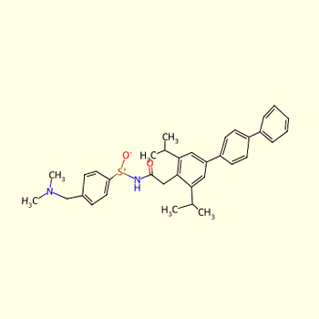 CC(C)c1cc(-c2ccc(-c3ccccc3)cc2)cc(C(C)C)c1CC(=O)N[S+]([O-])c1ccc(CN(C)C)cc1